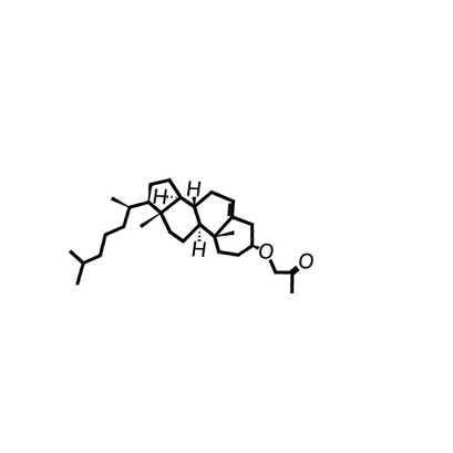 CC(=O)CO[C@H]1CC[C@@]2(C)C(=CC[C@H]3[C@@H]4CC[C@H]([C@H](C)CCCC(C)C)[C@@]4(C)CC[C@@H]32)C1